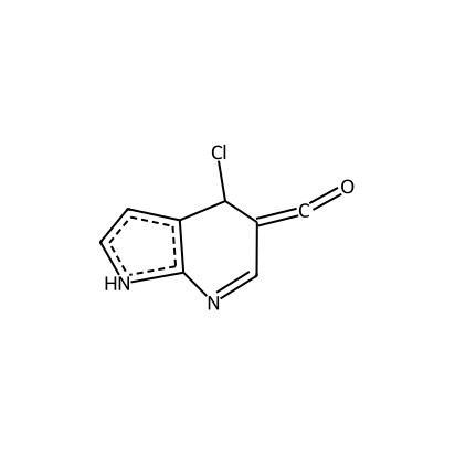 O=C=C1C=Nc2[nH]ccc2C1Cl